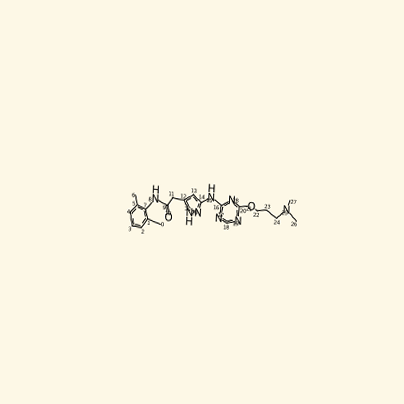 Cc1cccc(C)c1NC(=O)Cc1cc(Nc2ncnc(OCCCN(C)C)n2)n[nH]1